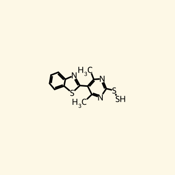 Cc1nc(SS)nc(C)c1-c1nc2ccccc2s1